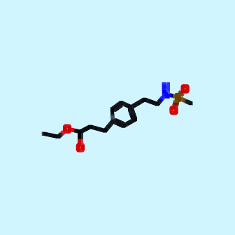 CCOC(=O)CCc1ccc(CCNS(C)(=O)=O)cc1